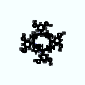 COC1=CC(/C2=C3\CC/C(=C(\C4C=C(OC)CC(OC)C4)C4CC/C(=C(\C5C=C(OC)CC(OC)C5)C5CCC(N5)/C(C5C=C(OC)CC(OC)C5)=C5/CCC2N5)N4)N3)CC(OC)C1